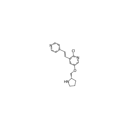 Clc1ncc(OC[C@H]2CCCN2)cc1/C=C/c1ccncc1